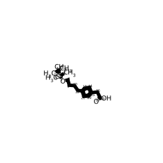 CC(C)(C)[Si](C)(C)OCCCCc1ccc(CC(=O)O)cc1